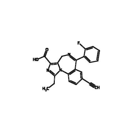 C#Cc1ccc2c(c1)C(c1ccccc1F)=NCc1c(C(=O)O)nc(CC)n1-2